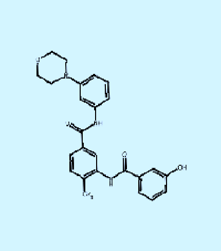 Cc1ccc(C(=O)Nc2cccc(N3CCOCC3)c2)cc1NC(=O)c1cccc(O)c1